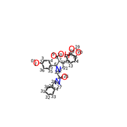 COc1ccc(C2C(C(=O)O)C(c3ccc4c(c3)OCO4)CN2CC(=O)N(C)Cc2ccccc2)cc1